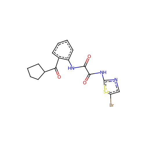 O=C(Nc1ncc(Br)s1)C(=O)Nc1ccccc1C(=O)C1CCCC1